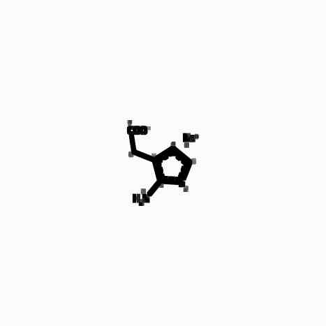 Nc1sccc1CC(=O)[O-].[Na+]